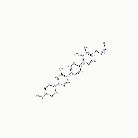 C=CC1CCC(c2ccc(-c3ccc(-c4ccc(C/C=C\C)c(F)c4F)cc3)c(F)c2)CC1